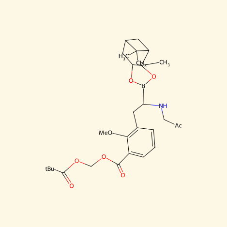 COc1c(CC(NCC(C)=O)B2OC3CC4CC(C4(C)C)C3(C)O2)cccc1C(=O)OCOC(=O)C(C)(C)C